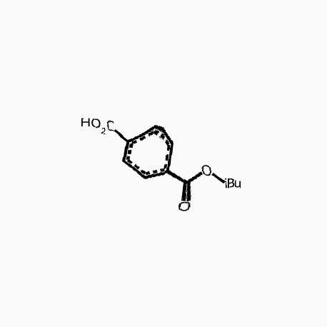 CCC(C)OC(=O)c1ccc(C(=O)O)cc1